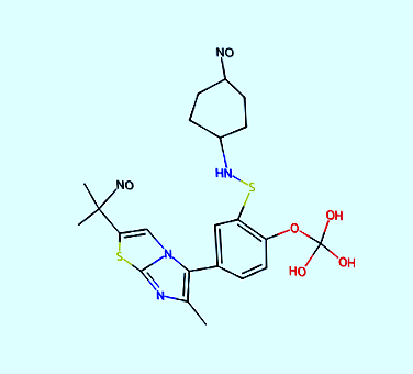 Cc1nc2sc(C(C)(C)N=O)cn2c1-c1ccc(OC(O)(O)O)c(SNC2CCC(N=O)CC2)c1